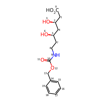 O=C(O)C[C@H](O)C[C@H](O)CCNC(=O)OCc1ccccc1